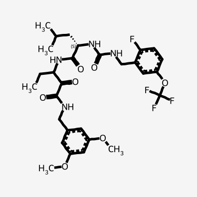 CCC(NC(=O)[C@H](CC(C)C)NC(=O)NCc1cc(OC(F)(F)F)ccc1F)C(=O)C(=O)NCc1cc(OC)cc(OC)c1